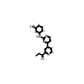 CCC(=O)c1cc(-c2ccnc(Nc3cccc(Cl)c3)n2)ccn1